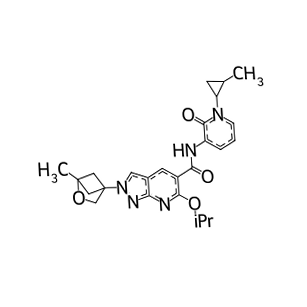 CC(C)Oc1nc2nn(C34COC(C)(C3)C4)cc2cc1C(=O)Nc1cccn(C2CC2C)c1=O